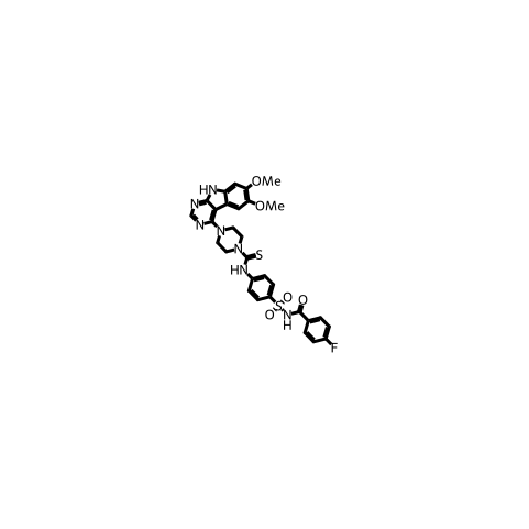 COc1cc2[nH]c3ncnc(N4CCN(C(=S)Nc5ccc(S(=O)(=O)NC(=O)c6ccc(F)cc6)cc5)CC4)c3c2cc1OC